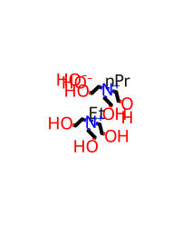 CCC[N+](CCO)(CCO)CCO.CC[N+](CCO)(CCO)CCO.[OH-].[OH-]